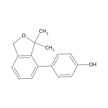 CC1(C)OCc2cccc(-c3ccc(O)cc3)c21